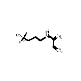 C=CC(=C)NCCC[C@@](F)(I)CC